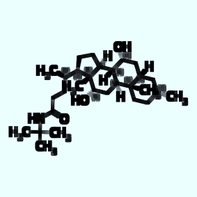 C[C@@H]1CC[C@@]2(C)[C@@H](C1)C[C@@H](O)[C@@H]1[C@@H]2C[C@H](O)[C@]2(C)[C@@H]([C@H](C)CCC(=O)NC(C)(C)C)CC[C@@H]12